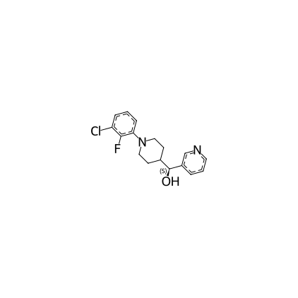 O[C@H](c1cccnc1)C1CCN(c2cccc(Cl)c2F)CC1